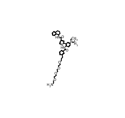 CCN(CC)c1ccc(NC(=O)c2cccc(CCCOCCOCCOCCOCCN)c2)c(-c2cc(C(=O)NC3CCCc4ccccc43)ccn2)c1